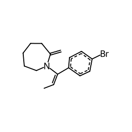 C=C1CCCCCN1/C(=C\C)c1ccc(Br)cc1